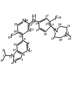 CC(C)n1ncc2ncc(-c3nc(Nc4ccc(N5CCN(C)CC5)c(F)c4)ncc3F)cc21